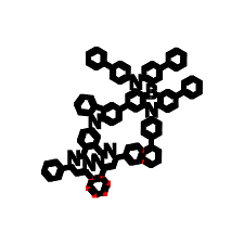 c1ccc(-c2ccc(N3c4ccc(-c5ccccc5)cc4B4c5cc(-c6ccccc6)ccc5N(c5ccc(-c6ccccc6)cc5)c5cc(-c6ccc7c(c6)c6ccccc6n7-c6ccc(-c7nc(-c8ccccc8)cc(-c8ccccc8)n7)c(-c7nc(-c8ccccc8)cc(-c8ccccc8)n7)c6)cc3c54)cc2)cc1